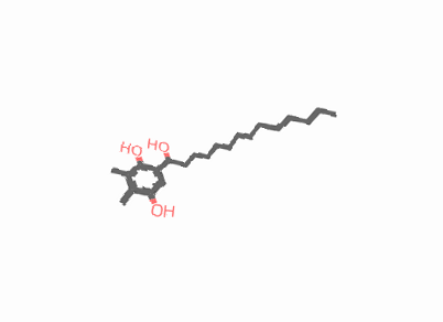 CCCCCCCCCCCCCC(O)c1cc(O)c(C)c(C)c1O